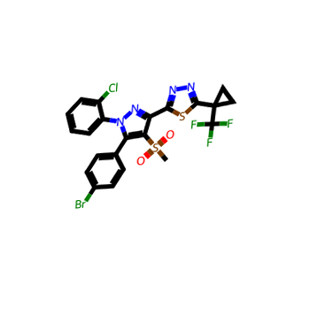 CS(=O)(=O)c1c(-c2nnc(C3(C(F)(F)F)CC3)s2)nn(-c2ccccc2Cl)c1-c1ccc(Br)cc1